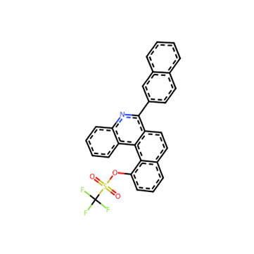 O=S(=O)(Oc1cccc2ccc3c(-c4ccc5ccccc5c4)nc4ccccc4c3c12)C(F)(F)F